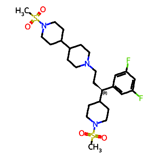 CS(=O)(=O)N1CCC(C2CCN(CC[C@@H](c3cc(F)cc(F)c3)C3CCN(S(C)(=O)=O)CC3)CC2)CC1